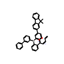 C=C/C=C\C(=C/C)c1ccccc1N(c1cccc(-c2ccccc2)c1)c1cccc(-c2ccc3c(c2)C(C)(C)c2ccccc2-3)c1